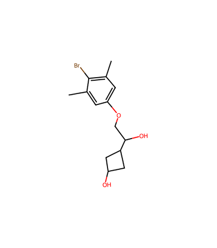 Cc1cc(OCC(O)C2CC(O)C2)cc(C)c1Br